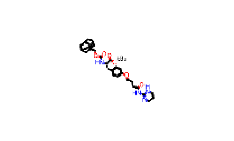 CC(C)(C)OC(=O)[C@H](Cc1ccc(OCCCC(=O)NC2=NCCCN2)cc1)NC(=O)OCC12CC3CC(CC(C3)C1)C2